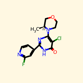 C[C@H]1COCCN1c1nc(-c2ccnc(F)c2)[nH]c(=O)c1Cl